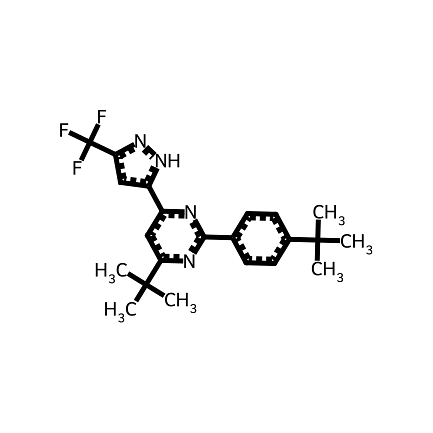 CC(C)(C)c1ccc(-c2nc(-c3cc(C(F)(F)F)n[nH]3)cc(C(C)(C)C)n2)cc1